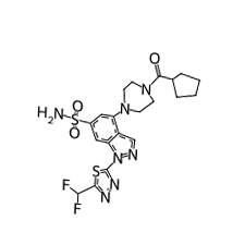 NS(=O)(=O)c1cc(N2CCN(C(=O)C3CCCC3)CC2)c2cnn(-c3nnc(C(F)F)s3)c2c1